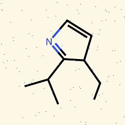 CCC1C=CN=C1C(C)C